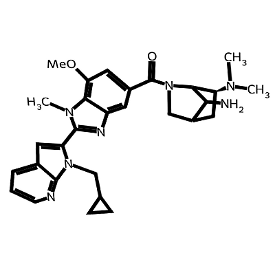 COc1cc(C(=O)N2CC3C[C@H](N(C)C)C2C3N)cc2nc(-c3cc4cccnc4n3CC3CC3)n(C)c12